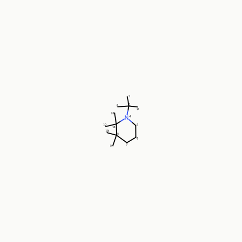 CC(C)(C)N1CCCC(C)(C)C1(C)C